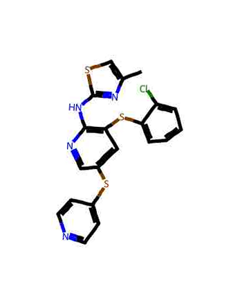 Cc1csc(Nc2ncc(Sc3ccncc3)cc2Sc2ccccc2Cl)n1